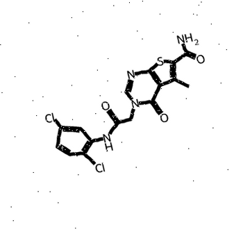 Cc1c(C(N)=O)sc2ncn(CC(=O)Nc3cc(Cl)ccc3Cl)c(=O)c12